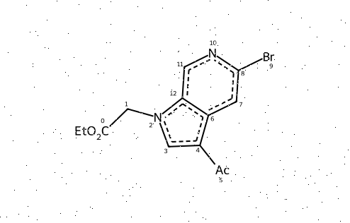 CCOC(=O)Cn1cc(C(C)=O)c2cc(Br)ncc21